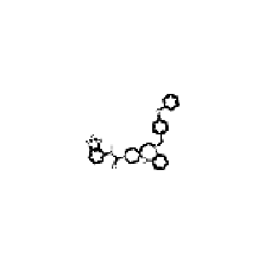 O=C(Nc1cccc2nsnc12)N1CCC2(CC1)CCN(Cc1ccc(Oc3ccccc3)cc1)c1ccccc1O2